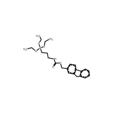 CCO[Si](CCCNC(=O)OCc1ccc2c(c1)Cc1ccccc1-2)(OCC)OCC